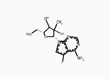 CC1(O)C(O)[C@@H](CO)O[C@H]1n1cc(F)c2c(N)ncnc21